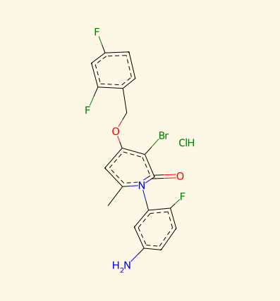 Cc1cc(OCc2ccc(F)cc2F)c(Br)c(=O)n1-c1cc(N)ccc1F.Cl